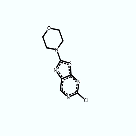 Clc1ncc2nc(N3CCOCC3)sc2n1